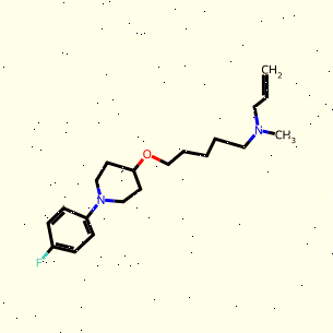 C=CCN(C)CCCCCOC1CCN(c2[c]cc(F)cc2)CC1